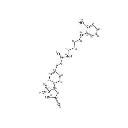 O=C(CCC1=CCC(N2CC(=O)NS2(=O)=O)C=C1)NCCCCOc1ccccc1O